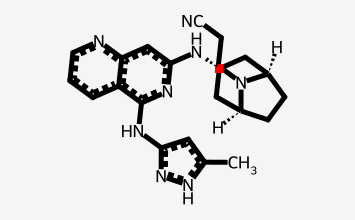 Cc1cc(Nc2nc(N[C@@H]3C[C@H]4CC[C@@H](C3)N4CCC#N)cc3ncccc23)n[nH]1